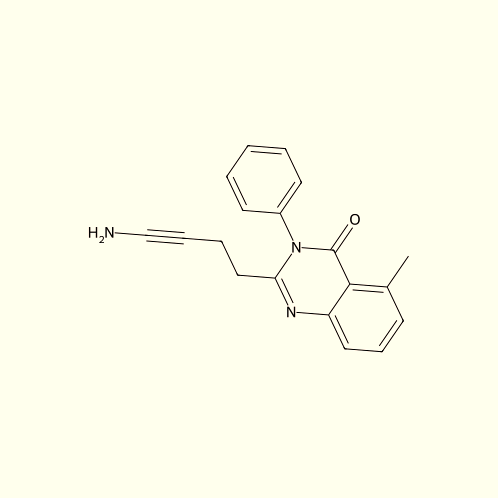 Cc1cccc2nc(CCC#CN)n(-c3ccccc3)c(=O)c12